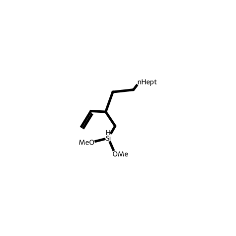 C=CC(CCCCCCCCC)C[SiH](OC)OC